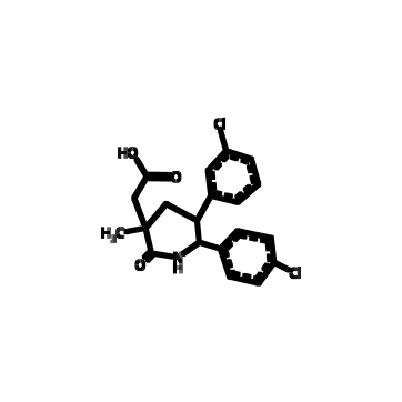 CC1(CC(=O)O)CC(c2cccc(Cl)c2)C(c2ccc(Cl)cc2)NC1=O